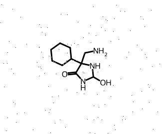 NCC1(C2CCCCC2)NC(O)NC1=O